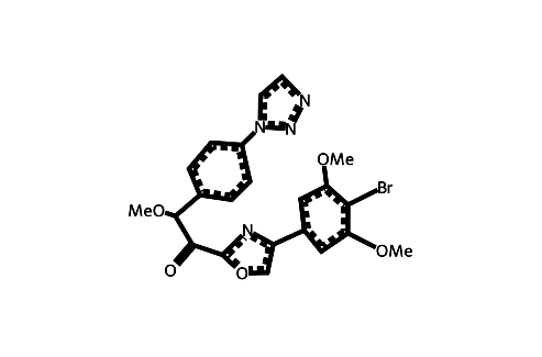 COc1cc(-c2coc(C(=O)C(OC)c3ccc(-n4ccnn4)cc3)n2)cc(OC)c1Br